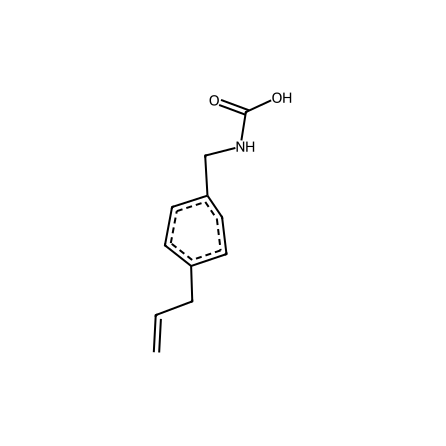 C=CCc1ccc(CNC(=O)O)cc1